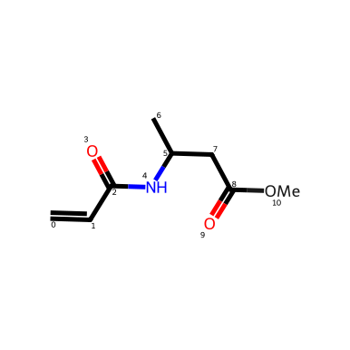 C=CC(=O)NC(C)CC(=O)OC